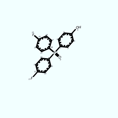 O=P(c1ccc(O)cc1)(c1ccc(F)cc1)c1ccc(F)cc1